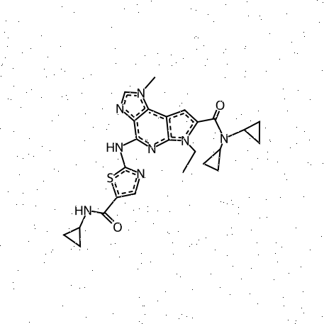 CCn1c(C(=O)N(C2CC2)C2CC2)cc2c3c(ncn3C)c(Nc3ncc(C(=O)NC4CC4)s3)nc21